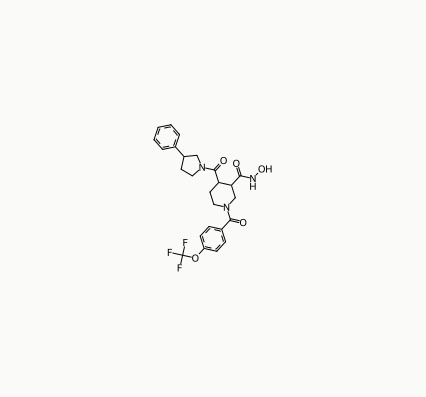 O=C(NO)C1CN(C(=O)c2ccc(OC(F)(F)F)cc2)CCC1C(=O)N1CCC(c2ccccc2)C1